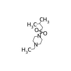 CCN1CCN(S(=O)(=O)CC(C)C)CC1